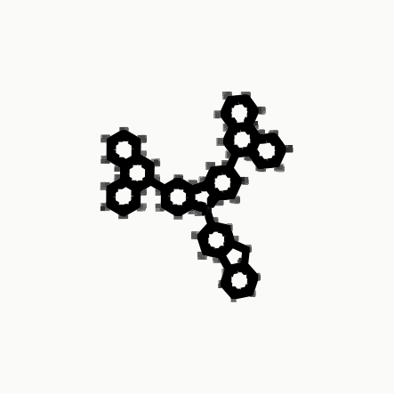 c1ccc2c(c1)Cc1cc(-n3c4ccc(-c5cc6ccccc6c6ccccc56)cc4c4cc(-c5cc6ccccc6c6ccccc56)ccc43)ccc1-2